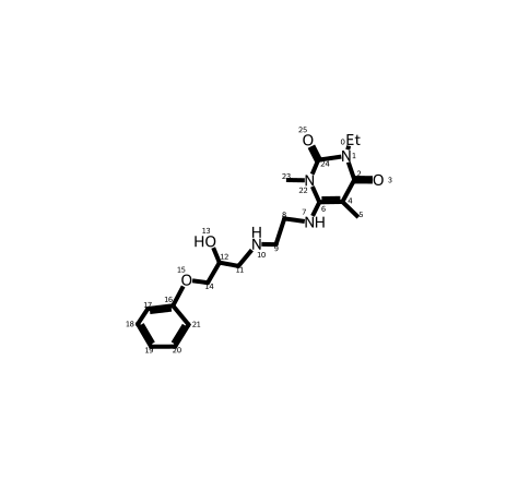 CCn1c(=O)c(C)c(NCCNCC(O)COc2ccccc2)n(C)c1=O